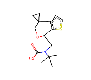 CC(C)(C)N(CC1OCC2(CC2)c2ccsc21)C(=O)O